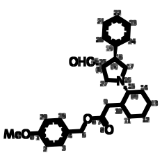 COc1ccc(COC(=O)CC2CCCC[C@H]2N2C[C@H](c3ccccc3)[C@@H](C=O)C2)cc1